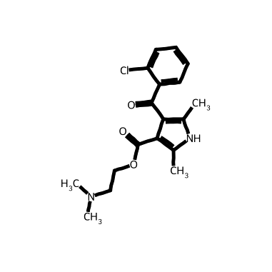 Cc1[nH]c(C)c(C(=O)c2ccccc2Cl)c1C(=O)OCCN(C)C